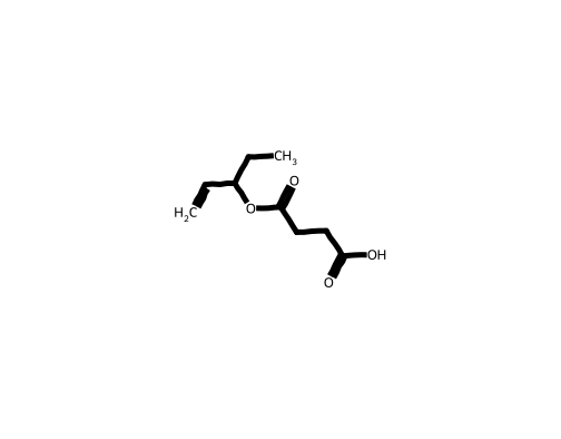 C=CC(CC)OC(=O)CCC(=O)O